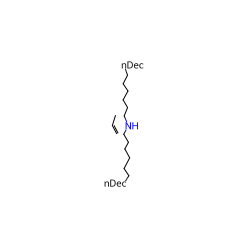 C=CC.CCCCCCCCCCCCCCCCNCCCCCCCCCCCCCCCC